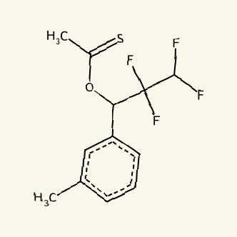 CC(=S)OC(c1cccc(C)c1)C(F)(F)C(F)F